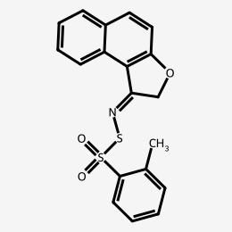 Cc1ccccc1S(=O)(=O)S/N=C1\COc2ccc3ccccc3c21